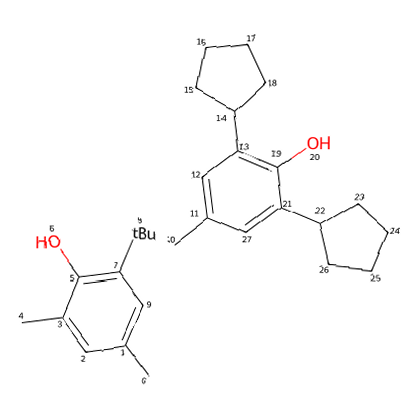 Cc1cc(C)c(O)c(C(C)(C)C)c1.Cc1cc(C2CCCC2)c(O)c(C2CCCC2)c1